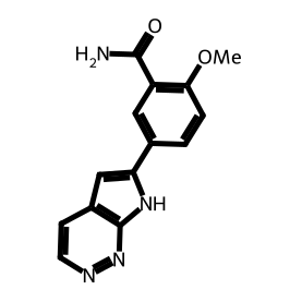 COc1ccc(-c2cc3ccnnc3[nH]2)cc1C(N)=O